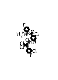 Nc1cc(F)ccc1NC(=O)c1cc(NC(=O)[C@H]2[C@H](c3ccc(F)c(Cl)c3)C2(Cl)Cl)ccc1Cl